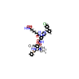 CN(C)CC[C@H](CSc1ccccc1)Nc1ccc(S(=O)(=O)NC(=O)c2ccc(N3CCN(Cc4ccccc4-c4ccc(Cl)cc4)CC3)c(NC(=O)CCCCCCC(=O)NO)c2)cc1[N+](=O)[O-]